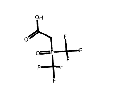 O=C(O)CP(=O)(C(F)(F)F)C(F)(F)F